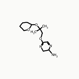 CC(C)(COC1=NCC(N)N=C1)OC1CCCCO1